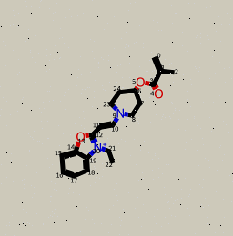 C=C(C)C(=O)OC1CCN(C=Cc2oc3ccccc3[n+]2CC)CC1